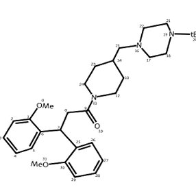 COc1ccccc1C(CC(=O)N1CCC(CN2CCN(C(C)(C)C)CC2)CC1)c1ccccc1OC